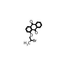 CC(Br)COc1cccc2c1C(=O)c1ccccc1C2=O